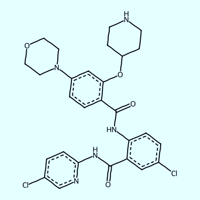 O=C(Nc1ccc(Cl)cn1)c1cc(Cl)ccc1NC(=O)c1ccc(N2CCOCC2)cc1OC1CCNCC1